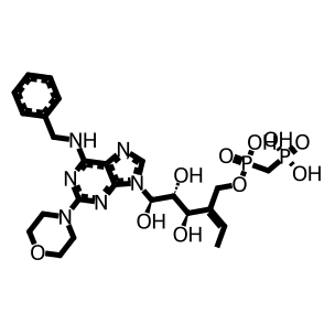 C/C=C(/COP(=O)(O)CP(=O)(O)O)[C@@H](O)[C@@H](O)[C@@H](O)n1cnc2c(NCc3ccccc3)nc(N3CCOCC3)nc21